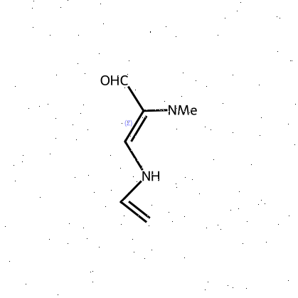 C=CN/C=C(/C=O)NC